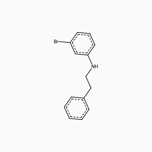 Brc1cccc(NCCc2ccccc2)c1